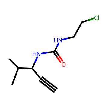 C#CC(NC(=O)NCCCl)C(C)C